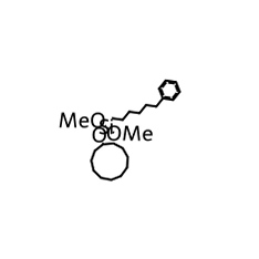 CO[Si](CCCCCCc1ccccc1)(OC)OC1CCCCCCCCCC1